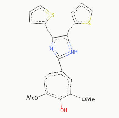 COc1cc(-c2nc(-c3cccs3)c(-c3cccs3)[nH]2)cc(OC)c1O